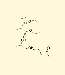 CC(O)CO.CCOC(=O)C(C)O.CCOC(C)=O.CCOCC